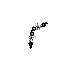 C=Cc1ccc(COC(=O)NC2CCC(CC3CCC(NC(=O)OCc4ccc(C=C)cc4)CC3)CC2)cc1